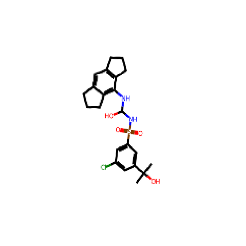 CC(C)(O)c1cc(Cl)cc(S(=O)(=O)NC(O)Nc2c3c(cc4c2CCC4)CCC3)c1